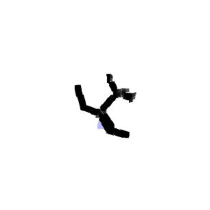 C/C=[N+](/CC)[BH-](F)F